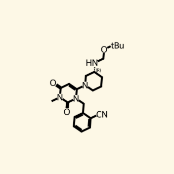 Cn1c(=O)cc(N2CCC[C@@H](NCOC(C)(C)C)C2)n(Cc2ccccc2C#N)c1=O